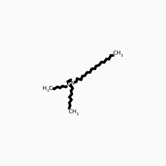 CCCCCCCCCCCCCCCCCCn1cc[n+](CCCCCC)c1CCCCCCCCC